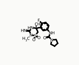 CN1C(=N)N[C@](C)(c2cc(NC(=O)N3CCCC3)ccc2F)CS1(=O)=O